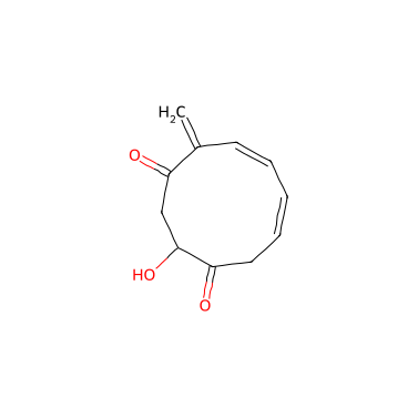 C=C1/C=C\C=C/CC(=O)C(O)CC1=O